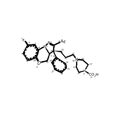 CC(=O)C1=NN2c3cc(F)ccc3OCC2[C@@]1(CCCN1CCN(C(=O)O)CC1)c1ccccc1